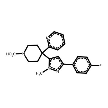 Cn1nc(-c2ccc(F)cc2)cc1C1(c2ccccn2)CCN(C(=O)O)CC1